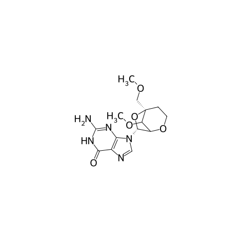 COC[C@]12CCOC(C1OC)[C@H](n1cnc3c(=O)[nH]c(N)nc31)O2